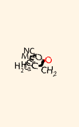 C=C(C)C(=O)OC.C=C=C=CC#N